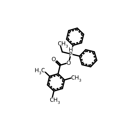 CC[PH](OC(=O)c1c(C)cc(C)cc1C)(c1ccccc1)c1ccccc1